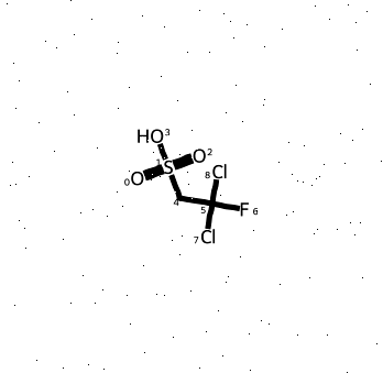 O=S(=O)(O)CC(F)(Cl)Cl